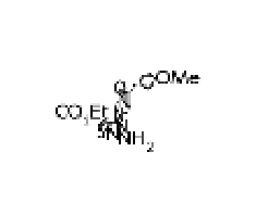 CCOC(=O)c1csc2nc(N)nc(N3CCN(C(=O)CCc4ccc(OC)cc4)CC3)c12